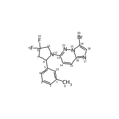 Cc1cccc(C2CC(F)(F)CN2c2ccc3ncc(Br)n3n2)c1